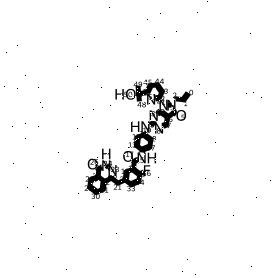 C=CCn1c(=O)c2cnc(Nc3ccc(NC(=O)c4cc(Cc5n[nH]c(=O)c6ccccc56)ccc4F)cc3)nc2n1-c1cccc(C(C)(C)O)n1